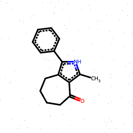 Cc1[nH]c(-c2ccccc2)c2c1C(=O)CCCC2